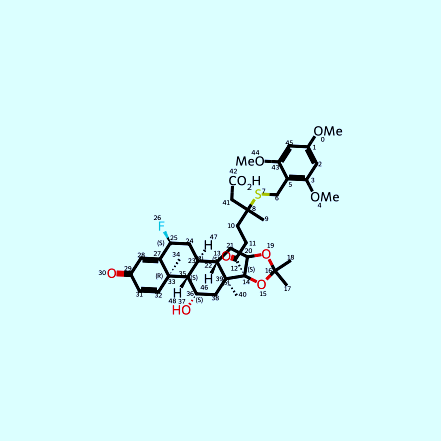 COc1cc(OC)c(CSC(C)(CCC(=O)[C@@]23OC(C)(C)OC2C[C@H]2[C@@H]4C[C@H](F)C5=CC(=O)C=C[C@]5(C)[C@H]4[C@@H](O)C[C@@]23C)CC(=O)O)c(OC)c1